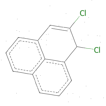 ClC1=Cc2cccc3cccc(c23)C1Cl